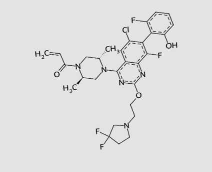 C=CC(=O)N1C[C@H](C)N(c2nc(OCCN3CCC(F)(F)C3)nc3c(F)c(-c4c(O)cccc4F)c(Cl)cc23)C[C@H]1C